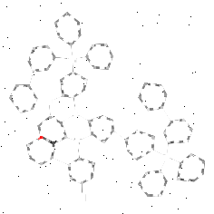 CC(C)(C)c1ccc(N2c3cc(-c4ccc([Si](c5ccccc5)(c5ccccc5)c5cccc(-c6ccccc6)c5)cc4)ccc3B3c4ccc([Si](c5ccccc5)(c5ccccc5)c5cccc(-c6ccccc6)c5)cc4Oc4cccc2c43)c(-c2ccccc2)c1